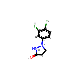 O=C1CCN(c2ccc(F)c(F)c2)N1